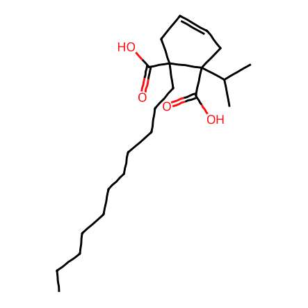 CCCCCCCCCCCC1(C(=O)O)CC=CCC1(C(=O)O)C(C)C